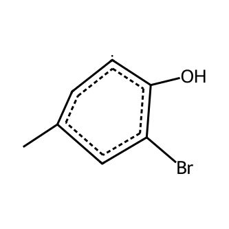 Cc1c[c]c(O)c(Br)c1